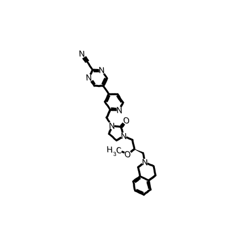 CO[C@H](CN1CCc2ccccc2C1)CN1CCN(Cc2cc(-c3cnc(C#N)nc3)ccn2)C1=O